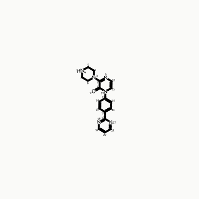 O=c1c(N2CCNCC2)nccn1-c1ccc(-c2ncccn2)cc1